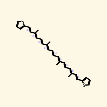 CC(/C=C/C=C(C)/C=C/c1cccs1)=C\C=C\C=C(C)\C=C\C=C(C)\C=C\c1cccs1